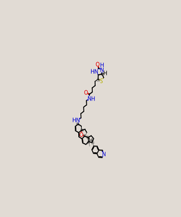 C[C@]12CC=C3C=C4C=C[C@@H](NCCCCCCNC(=O)CCCC[C@@H]5SC[C@@H]6NC(=O)NC65)C[C@]45CC[C@]3(O5)[C@@H]1CC[C@@H]2c1ccc2ccncc2c1